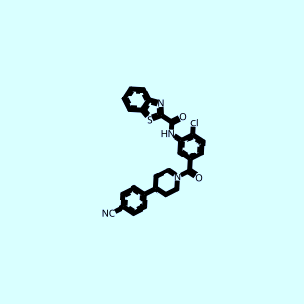 N#Cc1ccc(C2CCN(C(=O)c3ccc(Cl)c(NC(=O)c4nc5ccccc5s4)c3)CC2)cc1